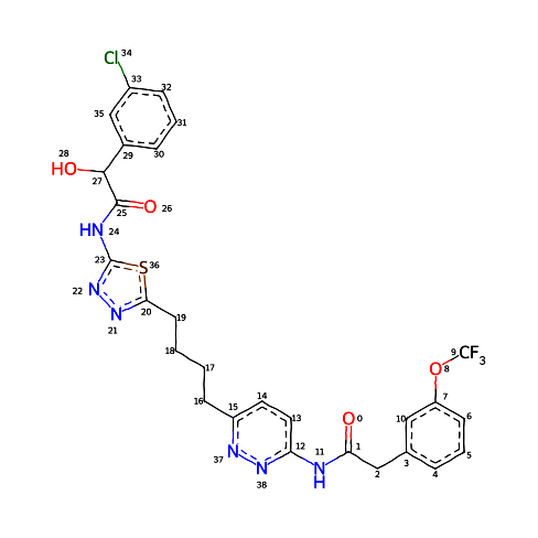 O=C(Cc1cccc(OC(F)(F)F)c1)Nc1ccc(CCCCc2nnc(NC(=O)C(O)c3cccc(Cl)c3)s2)nn1